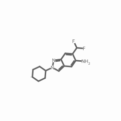 Nc1cc2cn(C3CC[CH]CC3)nc2cc1C(F)F